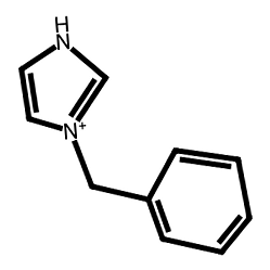 c1ccc(C[n+]2cc[nH]c2)cc1